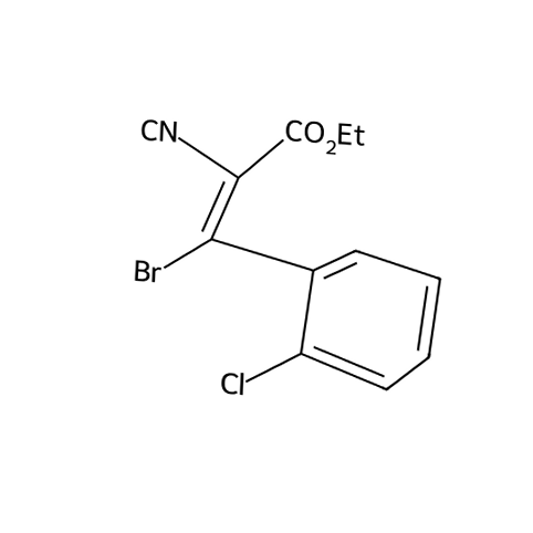 [C-]#[N+]C(C(=O)OCC)=C(Br)c1ccccc1Cl